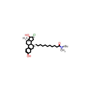 CCCCN(C)C(=O)CCCCCCCCCC[C@@H]1CC2=C(C=C=C(O)C2)C2CC[C@@]3(C)C(C[C@@H](Cl)C3O)C21